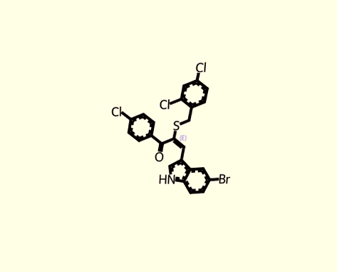 O=C(/C(=C\c1c[nH]c2ccc(Br)cc12)SCc1ccc(Cl)cc1Cl)c1ccc(Cl)cc1